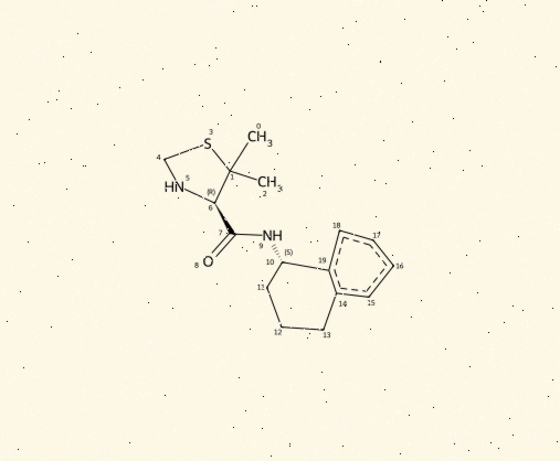 CC1(C)SCN[C@@H]1C(=O)N[C@H]1CCCc2ccccc21